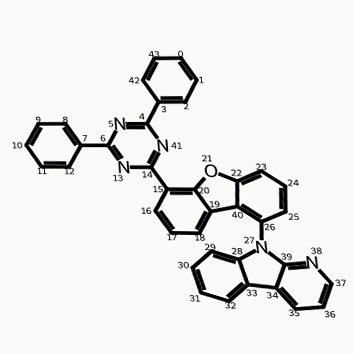 c1ccc(-c2nc(-c3ccccc3)nc(-c3cccc4c3oc3cccc(-n5c6ccccc6c6cccnc65)c34)n2)cc1